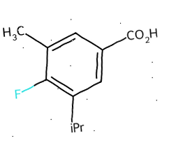 Cc1cc(C(=O)O)cc(C(C)C)c1F